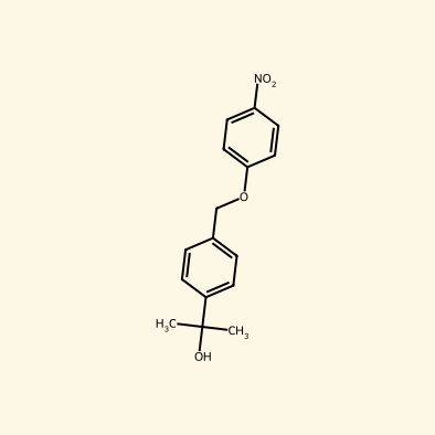 CC(C)(O)c1ccc(COc2ccc([N+](=O)[O-])cc2)cc1